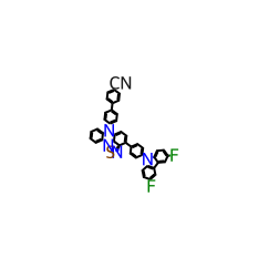 N#Cc1ccc(-c2ccc(N(c3ccccc3)c3ccc(-c4ccc(-n5c6ccc(F)cc6c6cc(F)ccc65)cc4)c4nsnc34)cc2)cc1